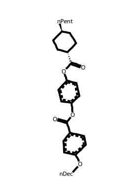 CCCCCCCCCCOc1ccc(C(=O)Oc2ccc(OC(=O)[C@H]3CC[C@H](CCCCC)CC3)cc2)cc1